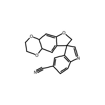 N#Cc1ccc2c(c1)C1(C=N2)COC2=CC3OCCOC3C=C21